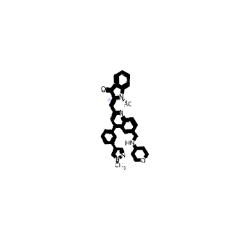 CC(=O)N1/C(=C\c2cc(-c3cccc(-c4cnn(C)c4)c3)c3cc(CNC4CCOCC4)ccc3n2)C(=O)c2ccccc21